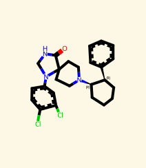 O=C1NCN(c2ccc(Cl)c(Cl)c2)C12CCN([C@@H]1CCCC[C@@H]1c1ccccc1)CC2